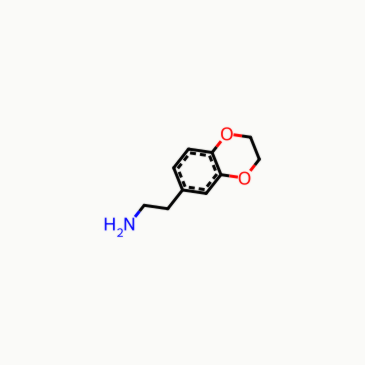 NCCc1ccc2c(c1)OCCO2